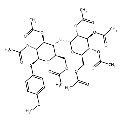 COc1ccc(S[C@@H]2O[C@H](COC(C)=O)[C@@H](O[C@H]3O[C@H](COC(C)=O)[C@@H](OC(C)=O)[C@H](OC(C)=O)[C@H]3OC(C)=O)[C@H](OC(C)=O)[C@H]2OC(C)=O)cc1